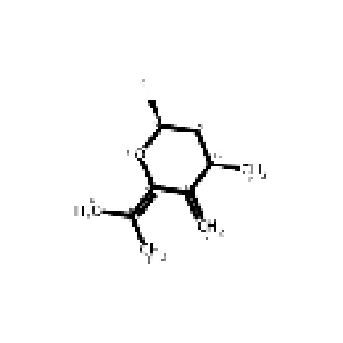 C=C1C(=C(C)C)O[C@@H](I)C[C@H]1C